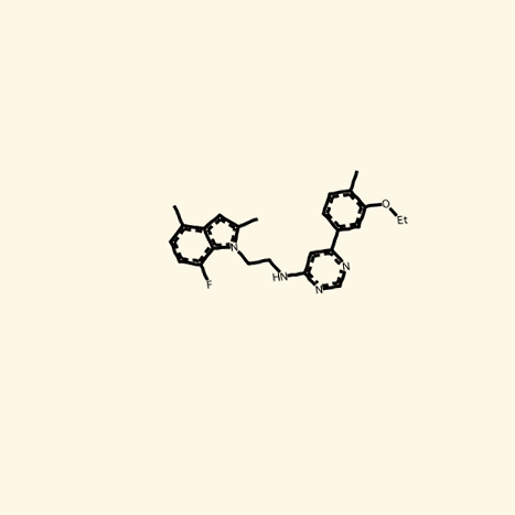 CCOc1cc(-c2cc(NCCn3c(C)cc4c(C)ccc(F)c43)ncn2)ccc1C